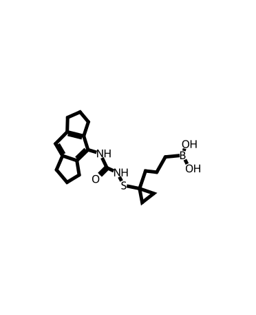 O=C(NSC1(CCCB(O)O)CC1)Nc1c2c(cc3c1CCC3)CCC2